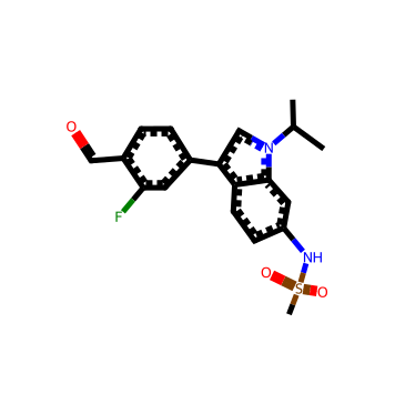 CC(C)n1cc(-c2ccc(C=O)c(F)c2)c2ccc(NS(C)(=O)=O)cc21